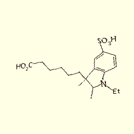 CCN1c2ccc(S(=O)(=O)O)cc2C(C)(CCCCCC(=O)O)C1C